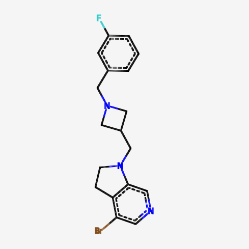 Fc1cccc(CN2CC(CN3CCc4c(Br)cncc43)C2)c1